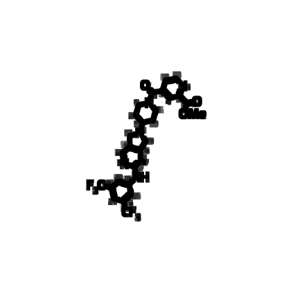 COC(=O)c1cc(C(=O)N2CCC(N3Cc4cnc(Nc5cc(C(F)(F)F)cc(C(F)(F)F)c5)nc4C3)CC2)ccn1